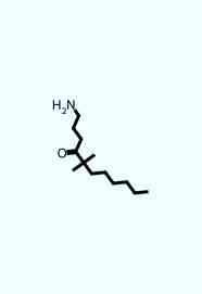 CCCCCCC(C)(C)C(=O)CCCN